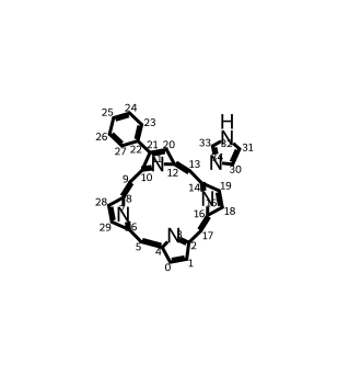 C1=CC2=NC1=CC1=NC(=CC3=NC(=CC4=NC(=C2)C=C4)C=C3c2ccccc2)C=C1.c1c[nH]cn1